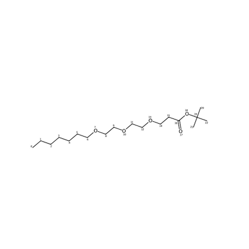 CCCCCCCOCCOCCOCCC(=O)OC(C)(C)C